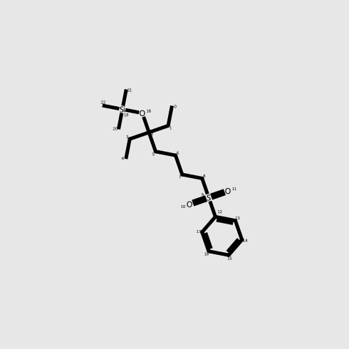 CCC(CC)(CCCCS(=O)(=O)c1ccccc1)O[Si](C)(C)C